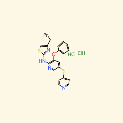 CC(C)Cc1csc(Nc2ncc(Sc3ccncc3)cc2Oc2ccccc2)n1.Cl.Cl